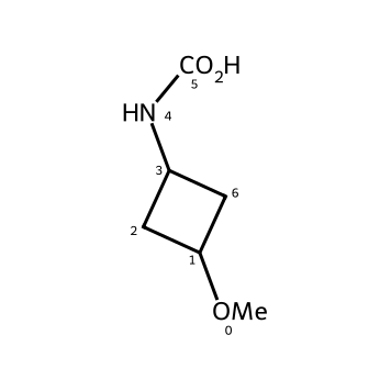 COC1CC(NC(=O)O)C1